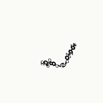 CN(C)c1ccc(-c2ccc(-c3nc4ccc(OCCN5CCN(CCOc6ccc7c(c6)CN(C6CCC(=O)NC6=O)C7=O)CC5)cc4s3)nc2)cn1